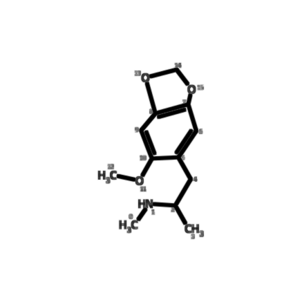 CNC(C)Cc1cc2c(cc1OC)OCO2